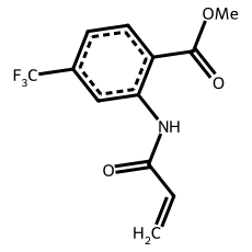 C=CC(=O)Nc1cc(C(F)(F)F)ccc1C(=O)OC